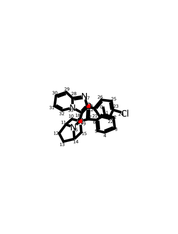 Cc1ccccc1C(=O)N1CC2CCC(C1)N2Cc1c(-c2ccc(Cl)cc2)nc2ccccn12